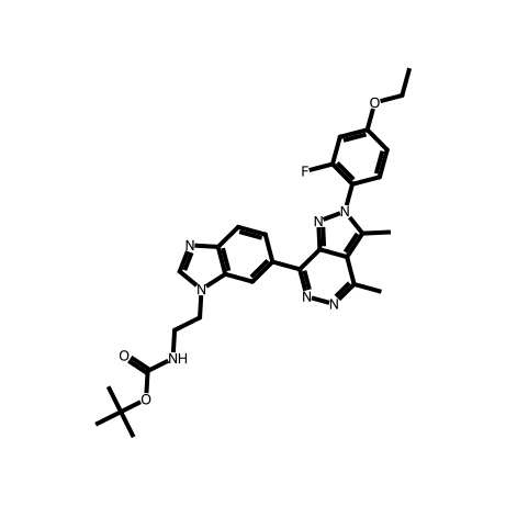 CCOc1ccc(-n2nc3c(-c4ccc5ncn(CCNC(=O)OC(C)(C)C)c5c4)nnc(C)c3c2C)c(F)c1